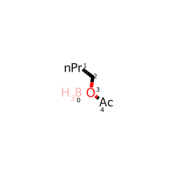 B.CCCCOC(C)=O